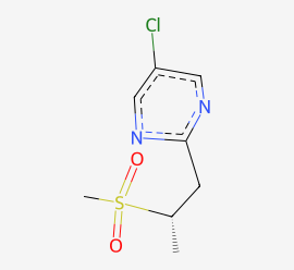 C[C@@H](Cc1ncc(Cl)cn1)S(C)(=O)=O